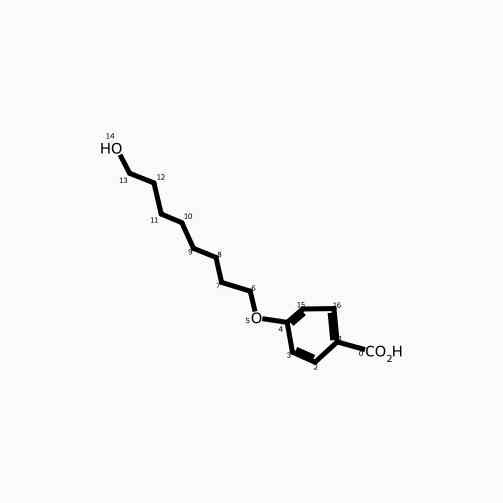 O=C(O)c1ccc(OCCCCCCCCO)cc1